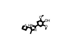 COc1cc(-c2nc(C)c(-c3cccs3)[nH]2)cc(OC)c1O